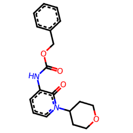 O=C(Nc1cccn(C2CCOCC2)c1=O)OCc1ccccc1